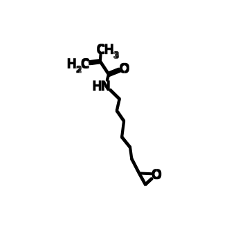 C=C(C)C(=O)NCCCCCCC1CO1